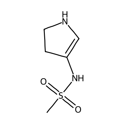 CS(=O)(=O)NC1=CNCC1